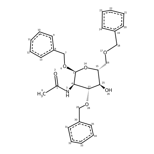 CC(=O)N[C@H]1[C@@H](OCc2ccccc2)O[C@H](COCc2ccccc2)[C@@H](O)[C@@H]1OCc1ccccc1